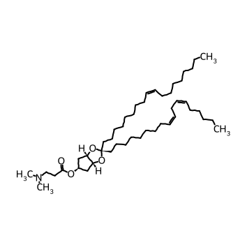 CCCCC/C=C\C/C=C\CCCCCCCC[C@]1(CCCCCCCC/C=C\CCCCCCCC)O[C@H]2C[C@H](OC(=O)CCN(C)C)C[C@H]2O1